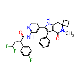 CN1C(=O)c2c([nH]c(-c3ccnc(NC(=O)[C@@H](CC(F)F)c4ccc(F)cc4)c3)c2-c2ccccc2)CC12CCC2